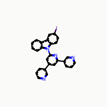 Ic1ccc2c(c1)c1ccccc1n2-c1cc(-c2cccnc2)cc(-c2cccnc2)n1